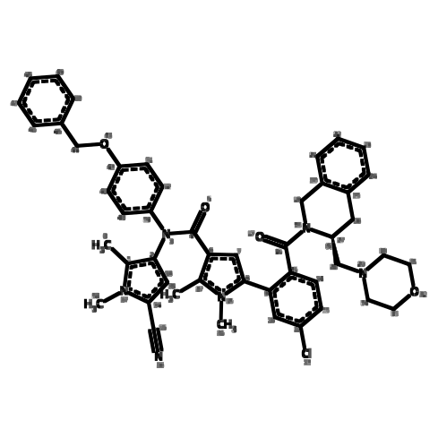 Cc1c(N(C(=O)c2cc(-c3cc(Cl)ccc3C(=O)N3Cc4ccccc4C[C@H]3CN3CCOCC3)n(C)c2C)c2ccc(OCc3ccccc3)cc2)cc(C#N)n1C